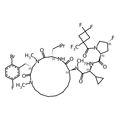 CC(C)C[C@@H]1NC(=O)[C@@H](N(C)C(=O)[C@@H](NC(=O)[C@@H]2C[C@@H](F)CN2C(=O)C2(C(F)(F)F)CC(F)(F)C2)C2CC2)CCCCCCCN(C)C(=O)[C@H](Cc2cc(F)ccc2Br)N(C)C1=O